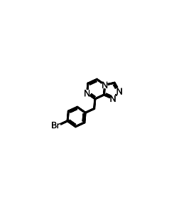 Brc1ccc(Cc2nccn3cnnc23)cc1